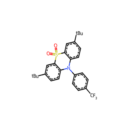 CC(C)(C)c1ccc2c(c1)S(=O)(=O)c1cc(C(C)(C)C)ccc1N2c1ccc(C(F)(F)F)cc1